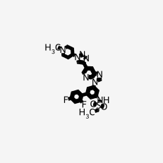 CCS(=O)(=O)Nc1cc(-c2ccc(F)cc2F)cc(-n2cnc3cc(-c4cn(C5CCN(C)CC5)nn4)cnc32)c1